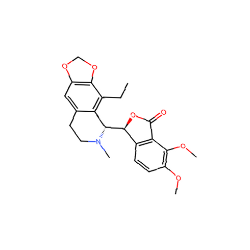 CCc1c2c(cc3c1[C@H]([C@H]1OC(=O)c4c1ccc(OC)c4OC)N(C)CC3)OCO2